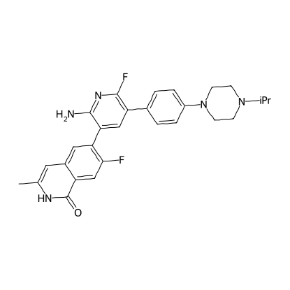 Cc1cc2cc(-c3cc(-c4ccc(N5CCN(C(C)C)CC5)cc4)c(F)nc3N)c(F)cc2c(=O)[nH]1